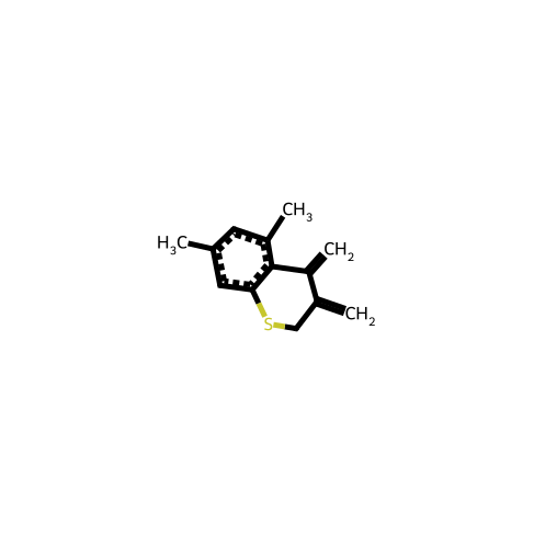 C=C1CSc2cc(C)cc(C)c2C1=C